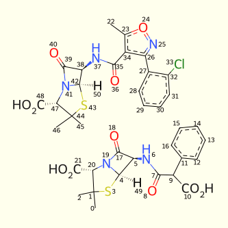 CC1(C)S[C@@H]2[C@H](NC(=O)C(C(=O)O)c3ccccc3)C(=O)N2[C@H]1C(=O)O.Cc1onc(-c2ccccc2Cl)c1C(=O)N[C@@H]1C(=O)N2[C@@H]1SC(C)(C)[C@@H]2C(=O)O